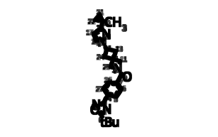 CC(C)(C)c1nc(-c2ccc(C(=O)N3CC4(CC(n5ccc(C6(C)CC6)n5)C4)C3)cc2)no1